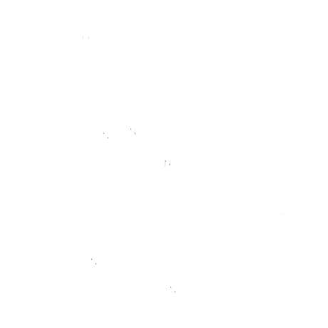 OCCCn1cc2c(-c3ccc(Cl)nc3)c(-c3ccncc3)c(-c3ccc(F)cc3)nc2n1